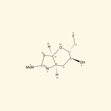 CNC1=N[C@@H]2C[C@H](O)[C@@H](CF)O[C@@H]2S1